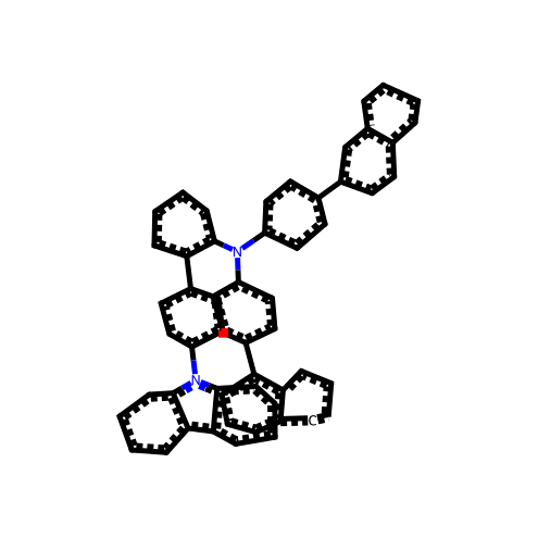 c1ccc(N(c2ccc(-c3ccc4ccccc4c3)cc2)c2ccc(-c3cccc4ccccc34)cc2)c(-c2ccc(-n3c4ccccc4c4ccccc43)cc2)c1